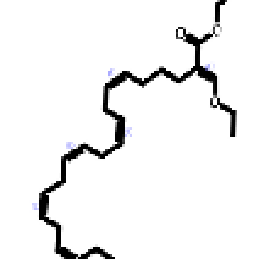 CC/C=C\C/C=C\C/C=C\C/C=C\C/C=C\CCC/C(=C\OCC)C(=O)OCC